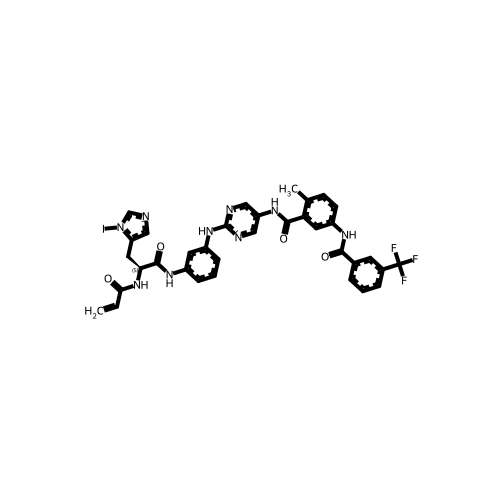 C=CC(=O)N[C@@H](Cc1cncn1I)C(=O)Nc1cccc(Nc2ncc(NC(=O)c3cc(NC(=O)c4cccc(C(F)(F)F)c4)ccc3C)cn2)c1